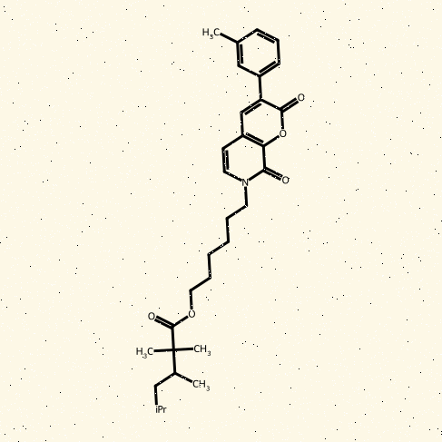 Cc1cccc(-c2cc3ccn(CCCCCCOC(=O)C(C)(C)C(C)CC(C)C)c(=O)c3oc2=O)c1